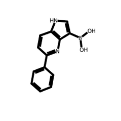 OB(O)c1c[nH]c2ccc(-c3ccccc3)nc12